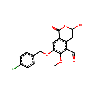 COc1c(OCc2ccc(Br)cc2)cc2c(c1C=O)CC(O)OC2=O